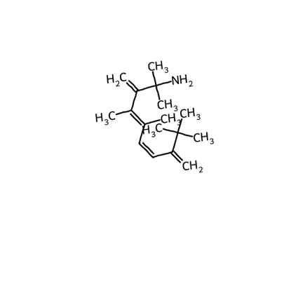 C=C(/C=C\C(C)=C(/C)C(=C)C(C)(C)N)C(C)(C)C